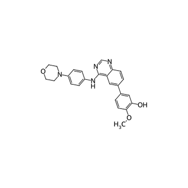 COc1ccc(-c2ccc3ncnc(Nc4ccc(N5CCOCC5)cc4)c3c2)cc1O